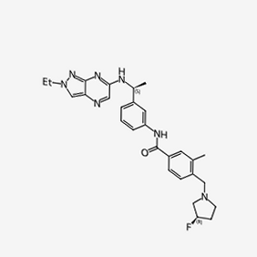 CCn1cc2ncc(N[C@@H](C)c3cccc(NC(=O)c4ccc(CN5CC[C@@H](F)C5)c(C)c4)c3)nc2n1